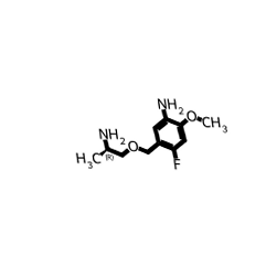 COc1cc(F)c(COC[C@@H](C)N)cc1N